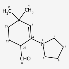 CC1(C)C=C(N2CCCC2)C(C=O)CC1